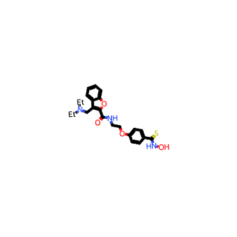 CCN(CC)Cc1c(C(=O)NCCOc2ccc(C(=S)NO)cc2)oc2ccccc12